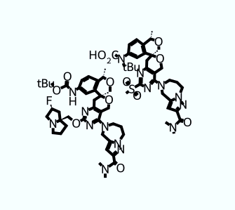 C[C@@H]1OC[C@]2(Cc3nc(OC[C@@]45CCCN4C[C@H](F)C5)nc(N4CCCn5nc(C(=O)N(C)C)cc5C4)c3CO2)c2cc(NC(=O)OC(C)(C)C)ccc21.C[C@@H]1OC[C@]2(Cc3nc(S(C)(=O)=O)nc(N4CCCn5nc(C(=O)N(C)C)cc5C4)c3CO2)c2cc(N(C(=O)O)C(C)(C)C)ccc21